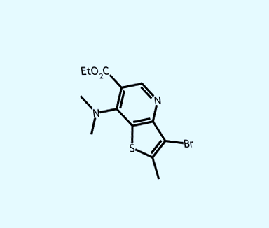 CCOC(=O)c1cnc2c(Br)c(C)sc2c1N(C)C